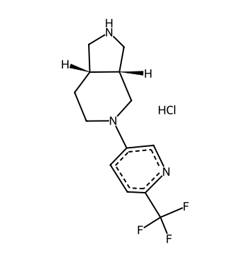 Cl.FC(F)(F)c1ccc(N2CC[C@@H]3CNC[C@@H]3C2)cn1